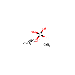 O[Si](O)(O)O.[AlH3].[CaH2].[CaH2]